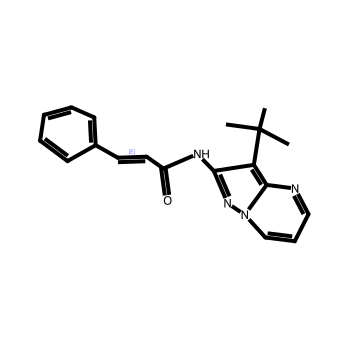 CC(C)(C)c1c(NC(=O)/C=C/c2ccccc2)nn2cccnc12